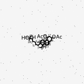 [2H]C(CC[C@@H](C)[C@H]1CC[C@H]2[C@@H]3CC=C4CC(OC(C)=O)C[C@H](OC(C)=O)[C@]4(C)[C@H]3CC[C@]12C)C(C)(C)O